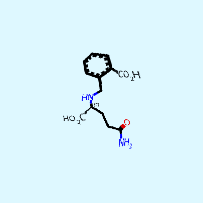 NC(=O)CC[C@H](NCc1ccccc1C(=O)O)C(=O)O